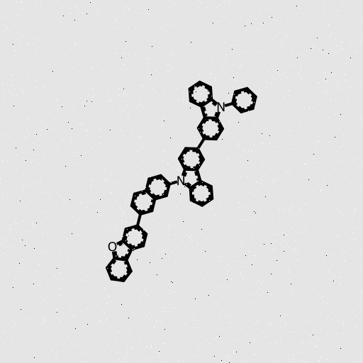 c1ccc(-n2c3ccccc3c3cc(-c4ccc5c(c4)c4ccccc4n5-c4ccc5ccc(-c6ccc7c(c6)oc6ccccc67)cc5c4)ccc32)cc1